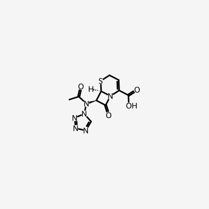 CC(=O)N([C@@H]1C(=O)N2C(C(=O)O)=CCS[C@H]12)n1cnnn1